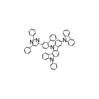 c1ccc(-c2cc(-c3ccc(-n4c5ccc(-n6c7ccccc7c7ccccc76)cc5c5ccc6c(c7ccccc7n6-c6ccccc6)c54)c(-c4ccccc4)c3)nc(-c3ccccc3)n2)cc1